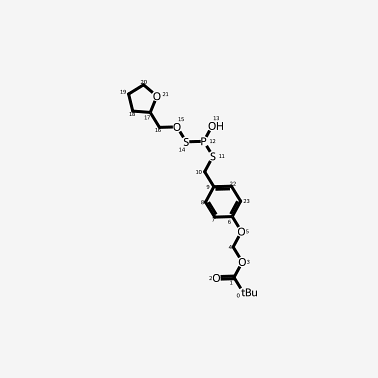 CC(C)(C)C(=O)OCOc1ccc(CSP(O)SOCC2CCCO2)cc1